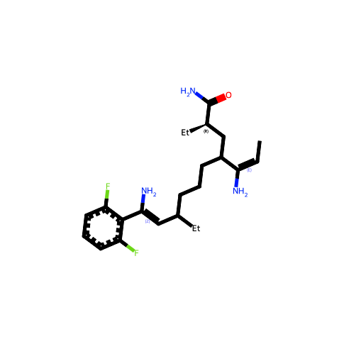 C/C=C(/N)C(CCCC(/C=C(\N)c1c(F)cccc1F)CC)C[C@@H](CC)C(N)=O